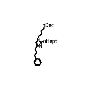 CCCCCCCCCCCCCCn1cc(CCCc2ccccc2)nc1CCCCCCC